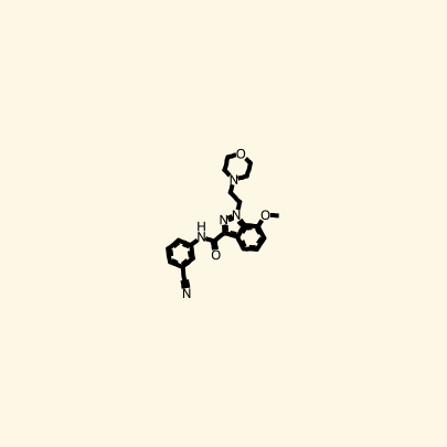 COc1cccc2c(C(=O)Nc3cccc(C#N)c3)nn(CCN3CCOCC3)c12